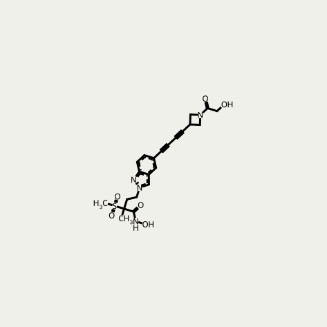 CC(CCn1cc2cc(C#CC#CC3CN(C(=O)CO)C3)ccc2n1)(C(=O)NO)S(C)(=O)=O